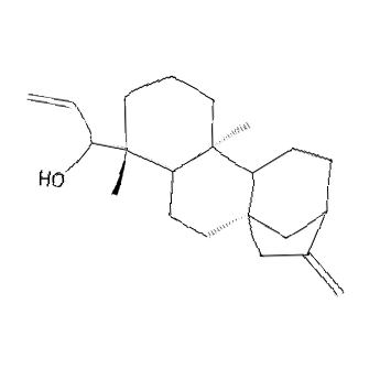 C=CC(O)[C@]1(C)CCC[C@@]2(C)C3CCC4C[C@@]3(CCC12)CC4=C